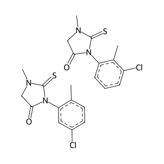 Cc1c(Cl)cccc1N1C(=O)CN(C)C1=S.Cc1ccc(Cl)cc1N1C(=O)CN(C)C1=S